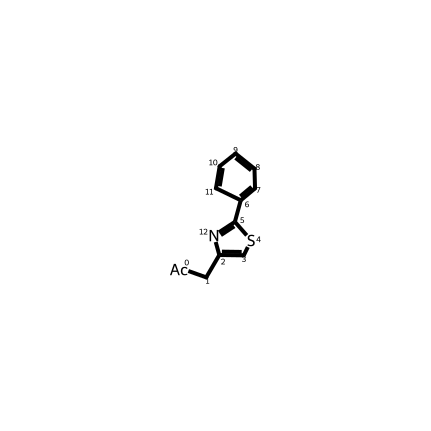 CC(=O)Cc1csc(-c2ccccc2)n1